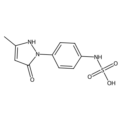 Cc1cc(=O)n(-c2ccc(NS(=O)(=O)O)cc2)[nH]1